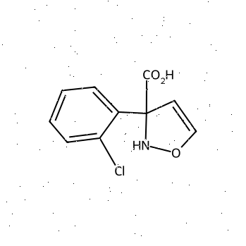 O=C(O)C1(c2ccccc2Cl)C=CON1